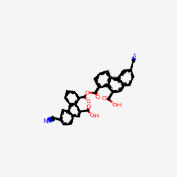 N#Cc1ccc2cc(C(=O)O)c3c(C(=O)OC(=O)c4cccc5c4c(C(=O)O)cc4ccc(C#N)cc45)cccc3c2c1